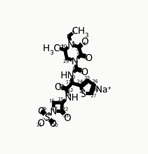 CCN1C(=O)C(=O)N(C(=O)NC(C(=O)NC2CN(S(=O)(=O)[O-])C2=O)c2cccs2)CC1C.[Na+]